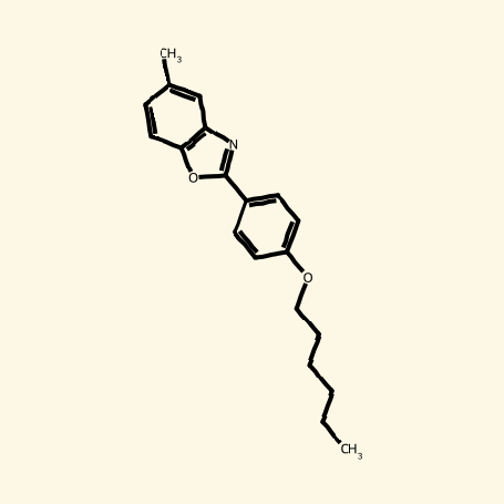 CCCCCCOc1ccc(-c2nc3cc(C)ccc3o2)cc1